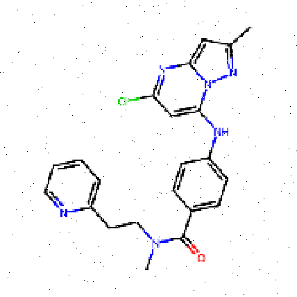 Cc1cc2nc(Cl)cc(Nc3ccc(C(=O)N(C)CCc4ccccn4)cc3)n2n1